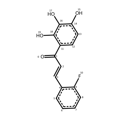 O=C(C=Cc1ccccc1F)c1ccc(O)c(O)c1O